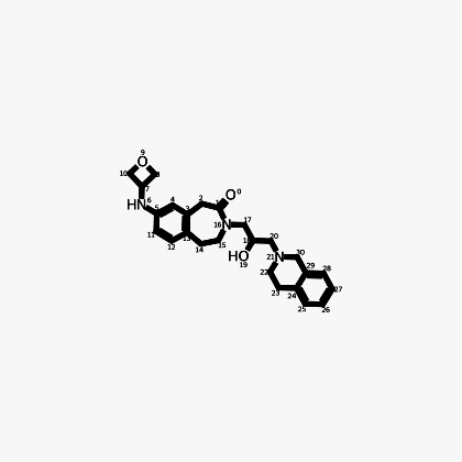 O=C1Cc2cc(NC3COC3)ccc2CCN1CC(O)CN1CCc2ccccc2C1